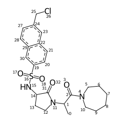 CC(C(=O)N1CCCCCC1)N1CCC(NS(=O)(=O)c2ccc3cc(CCl)ccc3c2)C1=O